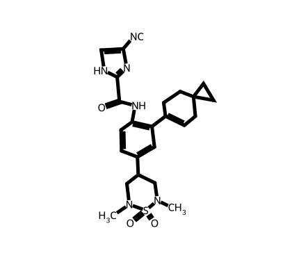 [C-]#[N+]c1c[nH]c(C(=O)Nc2ccc(C3CN(C)S(=O)(=O)N(C)C3)cc2C2=CCC3(CC2)CC3)n1